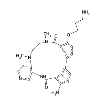 CN1CCN(C)c2ccncc2NC(=O)c2nc(cnc2N)-c2ccc(OCCCN)c(c2)C1=O